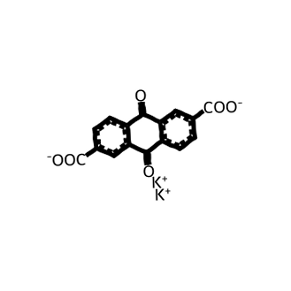 O=C([O-])c1ccc2c(c1)C(=O)c1ccc(C(=O)[O-])cc1C2=O.[K+].[K+]